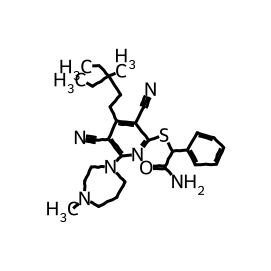 CCC(C)(CC)CCc1c(C#N)c(SC(C(N)=O)c2ccccc2)nc(N2CCCN(C)CC2)c1C#N